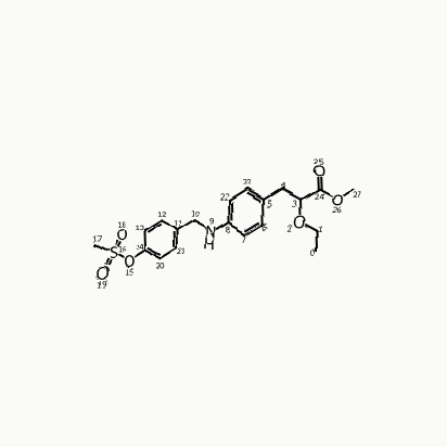 CCOC(Cc1ccc(NCc2ccc(OS(C)(=O)=O)cc2)cc1)C(=O)OC